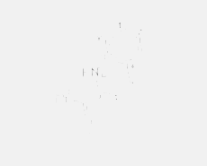 CC(C)C(=O)[C@H]1CCc2ccccc2N1